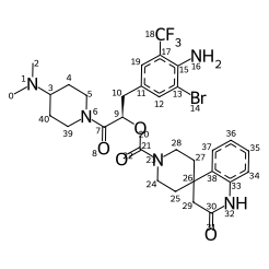 CN(C)C1CCN(C(=O)[C@@H](Cc2cc(Br)c(N)c(C(F)(F)F)c2)OC(=O)N2CCC3(CC2)CC(=O)Nc2ccccc23)CC1